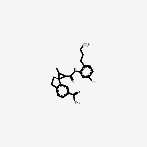 CNC(=O)c1ccc2c(c1)[C@]1(CC2)C(C)C1C(=O)Nc1cc(C#N)ccc1CCCC(=O)O